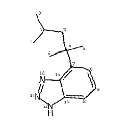 CC(C)CC(C)(C)c1cccc2[nH]nnc12